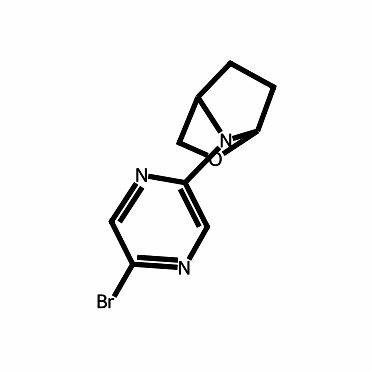 Brc1cnc(N2C3CCC2OC3)cn1